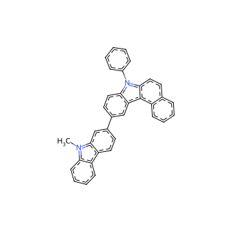 Cn1c2ccccc2c2ccc(-c3ccc4c(c3)c3c5ccccc5ccc3n4-c3ccccc3)cc21